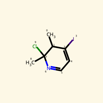 CC1C(I)=CC=NC1(C)Cl